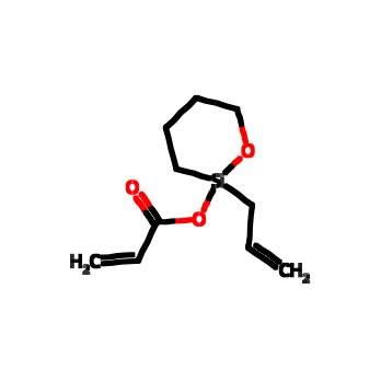 C=CC[Si]1(OC(=O)C=C)CCCCO1